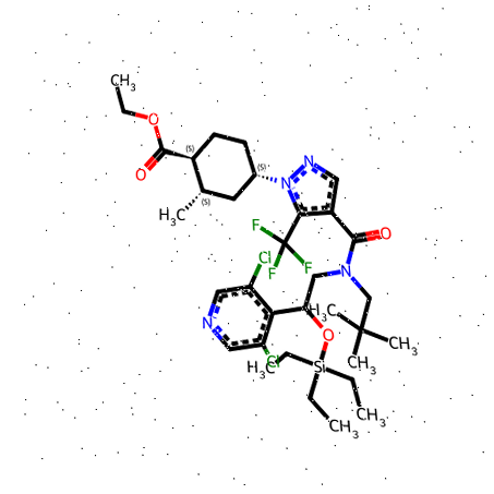 CCOC(=O)[C@H]1CC[C@H](n2ncc(C(=O)N(CC(O[Si](CC)(CC)CC)c3c(Cl)cncc3Cl)CC(C)(C)C)c2C(F)(F)F)C[C@@H]1C